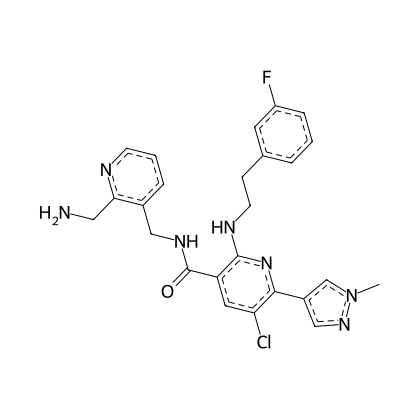 Cn1cc(-c2nc(NCCc3cccc(F)c3)c(C(=O)NCc3cccnc3CN)cc2Cl)cn1